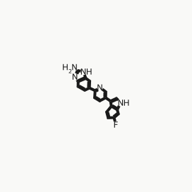 Nc1nc2ccc(-c3ccc(-c4c[nH]c5cc(F)ccc45)cn3)cc2[nH]1